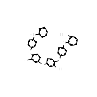 Cc1ccccc1Nc1ccc(Nc2ccc(Sc3ccc(Nc4ccc(Nc5ccccc5C)cc4)c(C)c3)cc2C)cc1